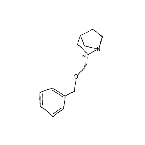 c1ccc(COC[C@@H]2CC3CCN2C3)cc1